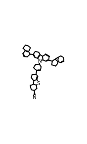 N#CC1CCC2C(C1)SC1=CC(C3=CCC(N4C5=C(CCC(C6CC=CC7=C6CCCC7)=C5)C5C=CC(C6CCCC78C=CCCC7C68)=CC54)CC3)CCC12